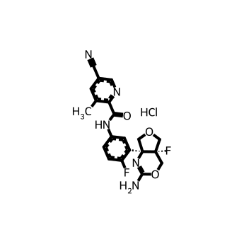 Cc1cc(C#N)cnc1C(=O)Nc1ccc(F)c([C@]23COC[C@@]2(F)COC(N)=N3)c1.Cl